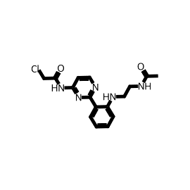 CC(=O)NCCNc1ccccc1-c1nccc(NC(=O)CCl)n1